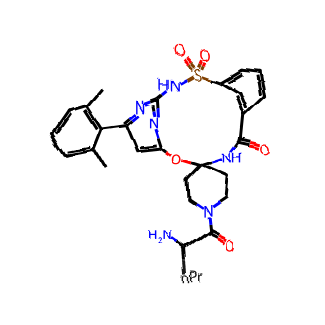 CCCC(N)C(=O)N1CCC2(CC1)NC(=O)c1cccc(c1)S(=O)(=O)Nc1nc(cc(-c3c(C)cccc3C)n1)O2